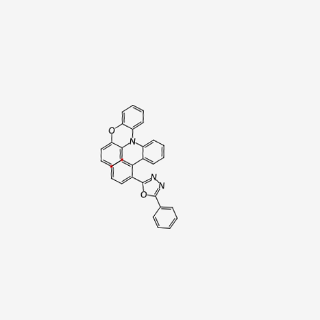 c1ccc(-c2nnc(-c3ccccc3-c3ccccc3N3c4ccccc4Oc4ccccc43)o2)cc1